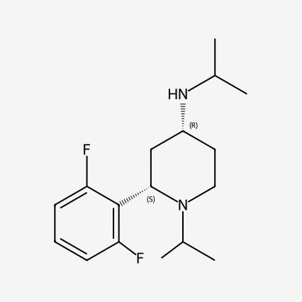 CC(C)N[C@@H]1CCN(C(C)C)[C@H](c2c(F)cccc2F)C1